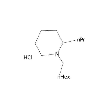 CCCCCCCN1CCCCC1CCC.Cl